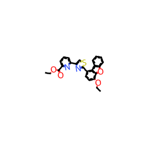 CCOC(=O)c1cccc(-c2csc(-c3ccc(OCC)c4oc5ccccc5c34)n2)n1